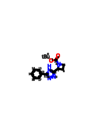 CC(C)(C)OC(=O)N1CCC1c1nnc(-c2ccccc2)[nH]1